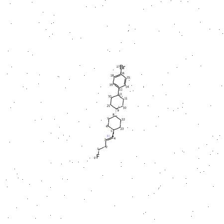 FCC/C=C/[C@H]1CC[C@H](C2CCC(c3ccc(Br)cc3)CC2)CC1